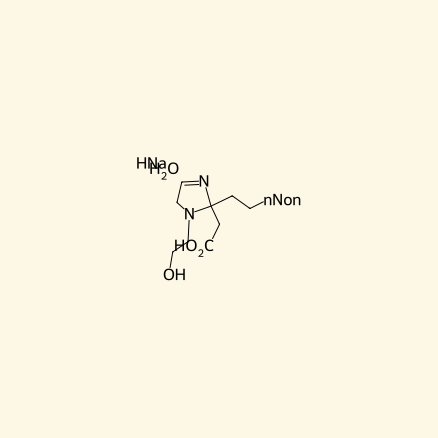 CCCCCCCCCCCC1(CC(=O)O)N=CCN1CCO.O.[NaH]